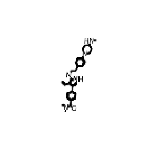 C=Cc1c(-c2ccc(C(=O)N(C)C)cc2)c[nH]c1/N=C\Cc1ccc(N2CCC(NC)CC2)cc1